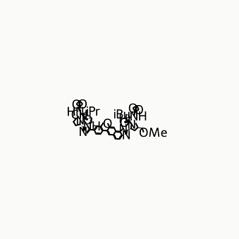 CC[C@H](C)[C@H](NC1OCO1)C(=O)N1C[C@@H](COC)C[C@H]1c1nc2ccc3cc4c(cc3c2[nH]1)OCc1cc(-c2cnc([C@@H]3CC[C@H](C)N3C(=O)[C@@H](NC3OCO3)C(C)C)[nH]2)ccc1-4